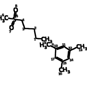 CCCCCS(C)(=O)=O.Cc1cc(C)cc(C)c1